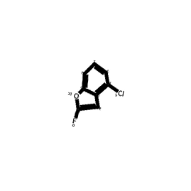 Fc1cc2c(Cl)cccc2o1